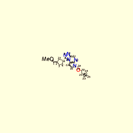 COC=C1C[C@@H](C)[C@@H](c2nnc3cnc4c(ccn4COCC[Si](C)(C)C)n23)C1